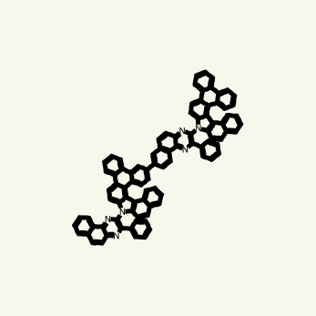 c1ccc(-c2nc3c(ccc4cc(-c5ccc6c(c5)c5ccccc5c5ccc7c(c56)c5c6ccccc6ccc5n7-c5nc6c(ccc7ccccc76)nc5-c5ccccc5)ccc43)nc2-n2c3ccc4ccccc4c3c3c4c5ccccc5c5ccccc5c4ccc32)cc1